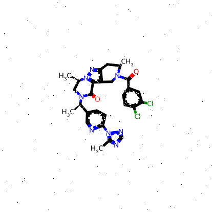 Cc1ncnn1-c1ccc([C@@H](C)N2C[C@@H](C)n3nc4c(c3C2=O)CN(C(=O)c2ccc(Cl)c(Cl)c2)[C@H](C)C4)cn1